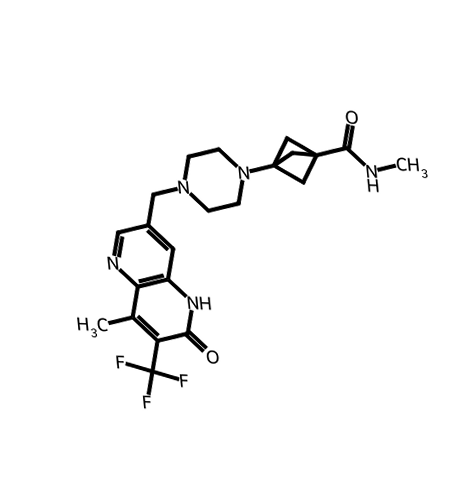 CNC(=O)C12CC(N3CCN(Cc4cnc5c(C)c(C(F)(F)F)c(=O)[nH]c5c4)CC3)(C1)C2